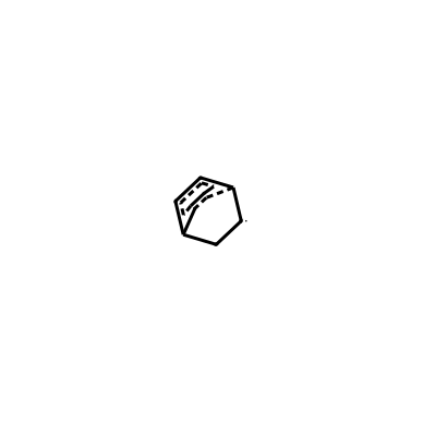 [CH]1Cc2ccc1cc2